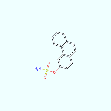 NS(=O)(=O)Oc1ccc2ccc3ccccc3c2c1